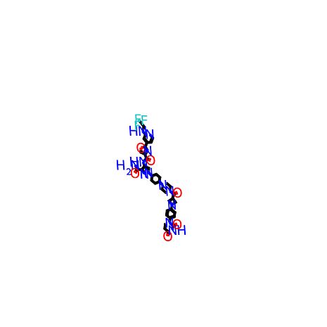 NC(=O)c1nn(C2CCC(N3CCN(C(=O)C4CN(c5ccc(N6CCC(=O)NC6=O)cc5)C4)CC3)CC2)cc1NC(=O)c1coc(-c2ccnc(NCC(F)(F)F)c2)n1